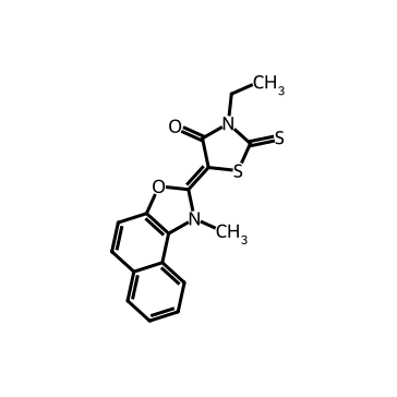 CCN1C(=O)C(=C2Oc3ccc4ccccc4c3N2C)SC1=S